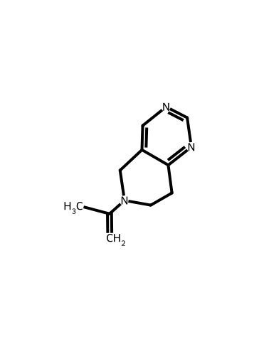 C=C(C)N1CCc2ncncc2C1